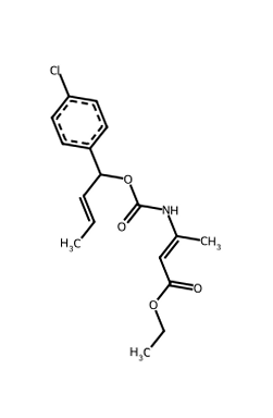 CC=CC(OC(=O)NC(C)=CC(=O)OCC)c1ccc(Cl)cc1